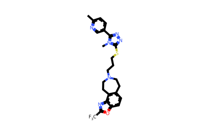 Cc1ccc(-c2nnc(SCCCN3CCc4ccc5oc(C(F)(F)F)nc5c4CC3)n2C)cn1